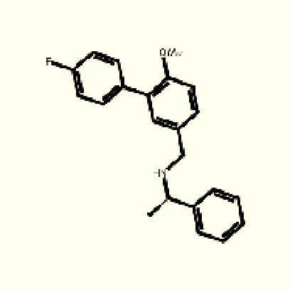 COc1ccc(CN[C@H](C)c2ccccc2)cc1-c1ccc(F)cc1